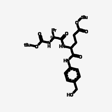 CC(C)[C@H](NC(=O)OC(C)(C)C)C(=O)NC(CCC(=O)OC(C)(C)C)C(=O)Nc1ccc(CO)cc1